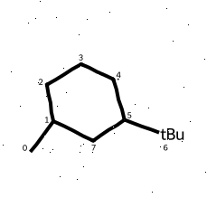 CC1CC[CH]C(C(C)(C)C)C1